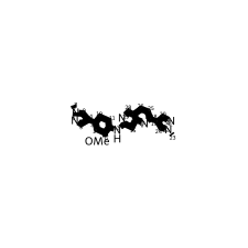 COc1cc(-c2cnn(C)c2)ccc1Nc1cc2nc(-c3cnn(C)c3)ccc2cn1